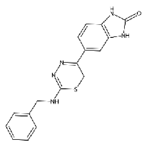 O=c1[nH]c2ccc(C3=NN=C(NCc4ccccc4)SC3)cc2[nH]1